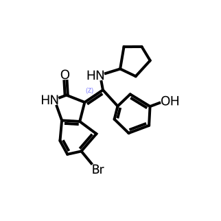 O=C1Nc2ccc(Br)cc2/C1=C(/NC1CCCC1)c1cccc(O)c1